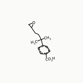 CC(C)(CCC1CO1)c1ccc(C(=O)O)cc1